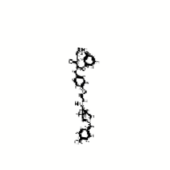 CCOC(=O)[C@H](Cc1ccc(OCCN[C@H]2C3CN(Cc4ccc(Cl)cc4)C[C@@H]32)cc1)Oc1cccc(C)c1